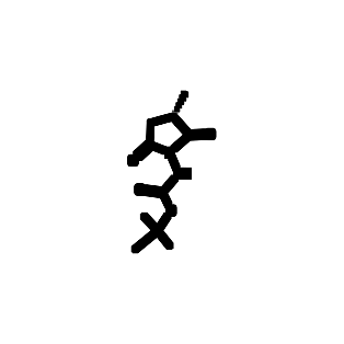 C[C@H]1CC(=O)N(NC(=O)OC(C)(C)C)C1=O